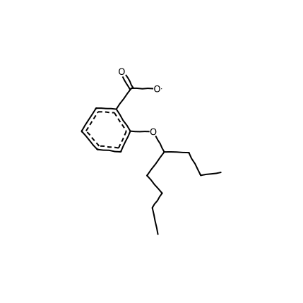 CCCCC(CCC)Oc1ccccc1C([O])=O